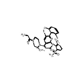 C=CC(=O)N1CCN(c2nc(=O)n(-c3c(C)cccc3S(C)(=O)=O)c3nc(-c4c(F)cccc4Cl)c(F)cc23)[C@@H](C)C1